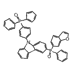 O=P(c1ccccc1)(c1ccccc1)c1ccc(-n2c3ccccc3c3cc(P(=O)(c4ccccc4)c4ccc5ccoc5c4)ccc32)cc1